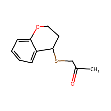 CC(=O)CSC1CCOc2ccccc21